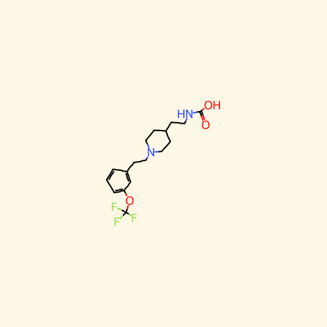 O=C(O)NCCC1CCN(CCc2cccc(OC(F)(F)F)c2)CC1